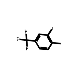 Cc1ccc(C(F)(F)F)cc1I